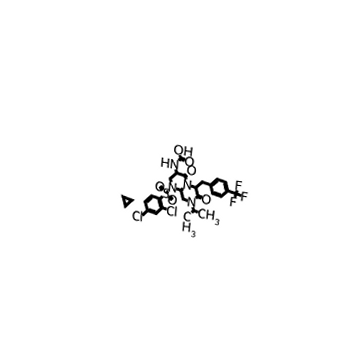 C1CC1.CC(C)N1CC2N(C(=O)C(NC(=O)O)CN2S(=O)(=O)c2ccc(Cl)cc2Cl)C(Cc2ccc(C(F)(F)F)cc2)C1=O